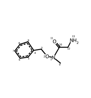 CN(OCc1ccccc1)C(=O)CN